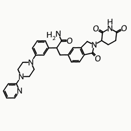 NC(=O)C(Cc1ccc2c(c1)CN(C1CCC(=O)NC1=O)C2=O)c1cccc(N2CCN(c3ccccn3)CC2)c1